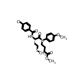 COC(=O)CCCN(C(=O)[C@H](CCSC)NC(=O)c1ccc(Cl)cc1)c1ccc(OC)cc1